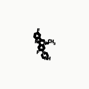 CCn1cc2c3cc(F)ccc3nc-2c2cc(F)c(N3CCNCC3)cc21